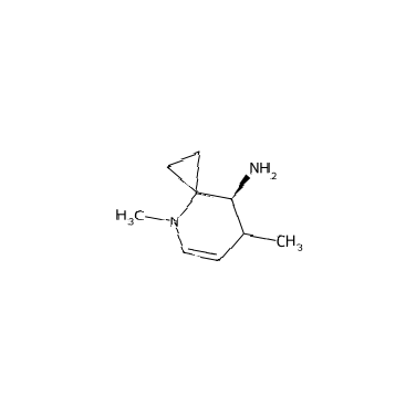 CC1C=CN(C)C2(CC2)[C@H]1N